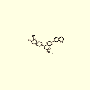 NC(=O)CC(c1ccc(-c2ccc3cccnc3c2)cc1)N1CCC2(CC1)CN(C1CC1)C(=O)CO2